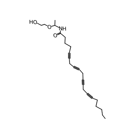 CCCCCC#CCC#CCC#CCC#CCCCC(=O)NC(C)OCCO